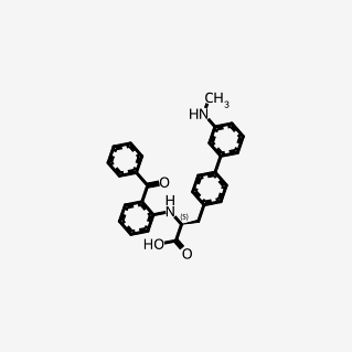 CNc1cccc(-c2ccc(C[C@H](Nc3ccccc3C(=O)c3ccccc3)C(=O)O)cc2)c1